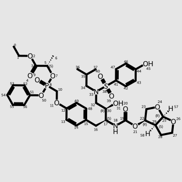 CCOC(=O)[C@H](C)OP(=O)(COc1ccc(C[C@H](NC(=O)O[C@H]2CO[C@H]3OCC[C@H]32)[C@H](O)CN(CC(C)C)S(=O)(=O)c2ccc(O)cc2)cc1)Oc1ccccc1